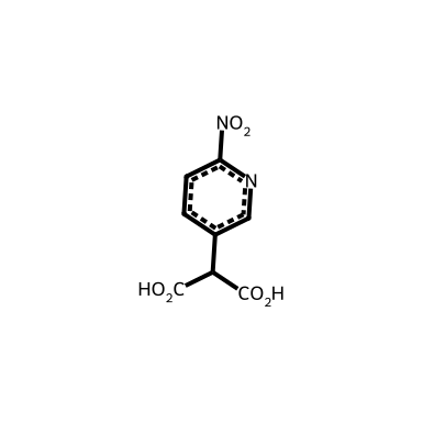 O=C(O)C(C(=O)O)c1ccc([N+](=O)[O-])nc1